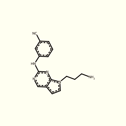 N#Cc1cccc(Nc2ncc3ccn(CCCN)c3n2)c1